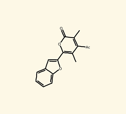 CC(=O)c1c(C)c(-c2cc3ccccc3o2)oc(=O)c1C